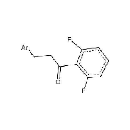 CC(=O)CCC(=O)c1c(F)cccc1F